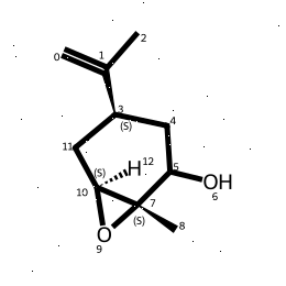 C=C(C)[C@H]1CC(O)[C@]2(C)O[C@H]2C1